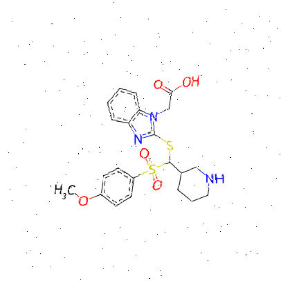 COc1ccc(S(=O)(=O)C(Sc2nc3ccccc3n2CC(=O)O)C2CCCNC2)cc1